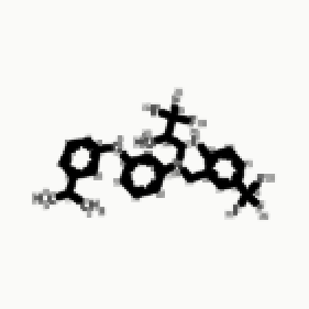 CC(C)c1cccc(Oc2cccc(N(Cc3cc(C(F)(F)F)ccc3F)CC(O)C(F)(F)F)c2)c1